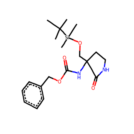 CC(C)(C)[Si](C)(C)OCC1(NC(=O)OCc2ccccc2)CCNC1=O